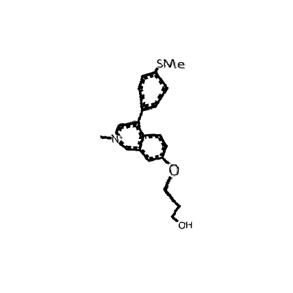 CSc1ccc(-c2c[n+](C)cc3cc(OCCCO)ccc23)cc1